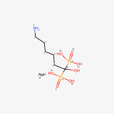 NCCCCCC(O)(P(=O)(O)O)P(=O)(O)O.[NaH]